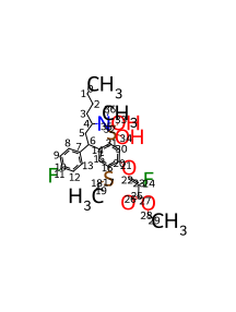 CCCCC1CC(c2ccc(F)cc2)c2cc(SCC)c(O/C=C(\F)C(=O)OCC)cc2S(O)(O)N1C